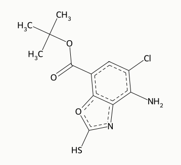 CC(C)(C)OC(=O)c1cc(Cl)c(N)c2nc(S)oc12